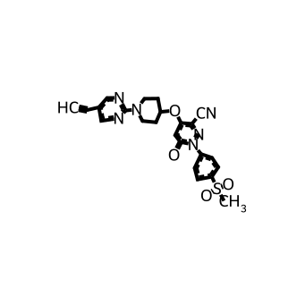 C#Cc1cnc(N2CCC(Oc3cc(=O)n(-c4ccc(S(C)(=O)=O)cc4)nc3C#N)CC2)nc1